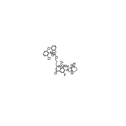 COc1c(N2C[C@H]3CCCN[C@H]3C2)c(F)cc2c(=O)cc(CCCOC(=O)Cc3ccccc3Nc3c(Cl)cccc3Cl)n(C3CC3)c12